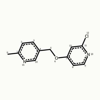 Cc1ccc(COc2ccnc(Cl)c2)cn1